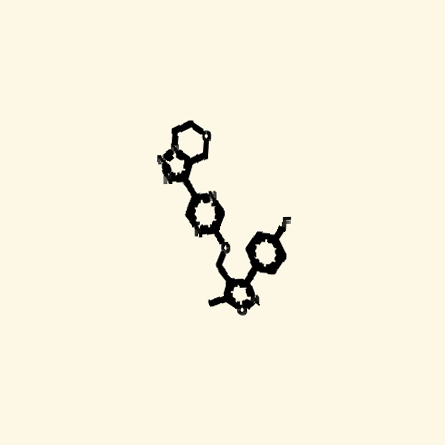 Cc1onc(-c2ccc(F)cc2)c1COc1cnc(-c2nnn3c2COCC3)cn1